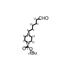 CC(C)(C)OC(=O)N1CCN(CCCCCC=O)CC1